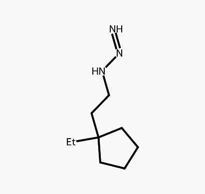 CCC1(CCNN=N)CCCC1